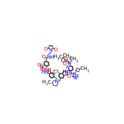 CCN(C(=O)OC(C)(C)C)c1cc([C@]2(c3nncn3C)C[C@@H](C)C2)cc(N2Cc3c(SC)cc(C[N+]4(Cc5ccc(NS(=O)(=O)c6ccc(C(=O)NCCN7C(=O)C=CC7=O)cc6[N+](=O)[O-])cc5)CCC[C@H](C)C4)cc3C2=O)n1